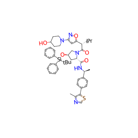 Cc1ncsc1-c1ccc([C@H](C)NC(=O)[C@@H]2C[C@@H](O[Si](c3ccccc3)(c3ccccc3)C(C)(C)C)CN2C(=O)[C@H](c2cc(N3CCC(O)CC3)no2)C(C)C)cc1